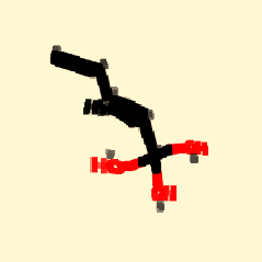 C=C[SiH]=CC(O)(O)O